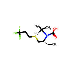 CC[C@H](CSCCC(F)(F)F)N(C(=O)O)C(C)(C)C